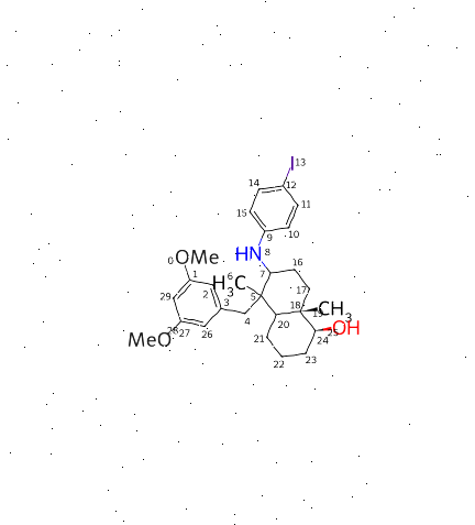 COc1cc(CC2(C)C(Nc3ccc(I)cc3)CC[C@@]3(C)C2CCC[C@@H]3O)cc(OC)c1